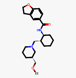 CCOC[C@@H]1CCCN(C[C@H]2CCCC[C@@H]2NC(=O)c2ccc3c(c2)CCO3)C1